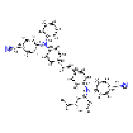 C\C=C/C=C(\C=C/C)N(c1ccc(C#N)cc1)c1ccc(/C=C/c2ccc(N(c3ccccc3)c3ccc(C#N)cc3)cc2)cc1